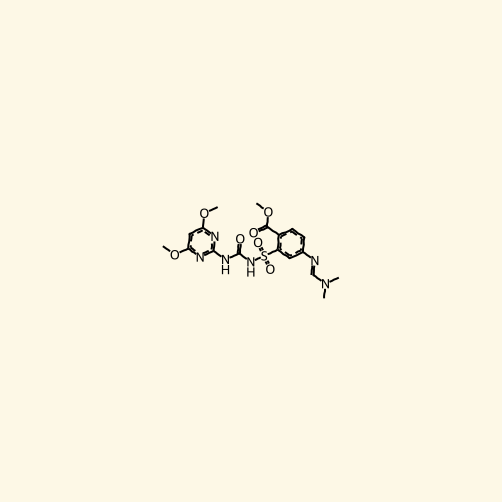 COC(=O)c1ccc(/N=C/N(C)C)cc1S(=O)(=O)NC(=O)Nc1nc(OC)cc(OC)n1